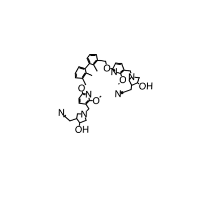 COc1nc(OCc2cccc(-c3cccc(COc4ccc(CN5CC(O)C(CC#N)C5)c(OC)n4)c3C)c2C)ccc1CN1CC(O)C(CC#N)C1